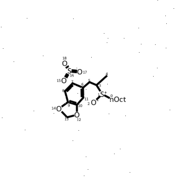 CCCCCCCC[S+]([O-])C(C)Cc1ccc2c(c1)OCO2.O=S(=O)=O